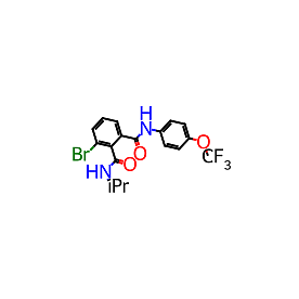 CC(C)NC(=O)c1c(Br)cccc1C(=O)Nc1ccc(OC(F)(F)F)cc1